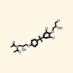 CC(=O)N(C[C@@H](O)COc1ccc(C(C)(C)c2cc(Cl)c(OC[C@@H](O)CCl)c(Cl)c2)cc1)C(C)=O